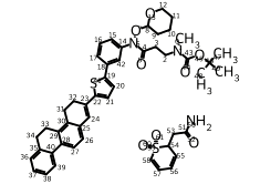 CN(CCC(=O)N(OC1CCCCO1)c1cccc(-c2ccc(C3=Cc4ccc5c(c4CC3)CCc3ccccc3-5)s2)c1)C(=O)OC(C)(C)C.NC(=O)CC1C=CC=CS1(=O)=O